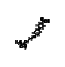 C=C(C)C(=O)OCCCCOC1CCC(C2CCC(C(=O)O)CC2)CC1